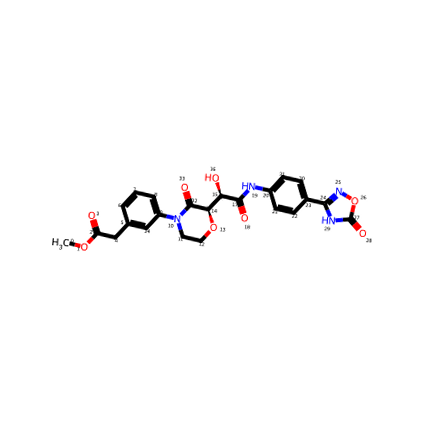 COC(=O)Cc1cccc(N2CCO[C@H]([C@@H](O)C(=O)Nc3ccc(-c4noc(=O)[nH]4)cc3)C2=O)c1